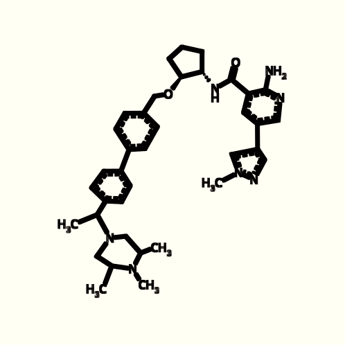 CC(c1ccc(-c2ccc(CO[C@H]3CCC[C@@H]3NC(=O)c3cc(-c4cnn(C)c4)cnc3N)cc2)cc1)N1CC(C)N(C)C(C)C1